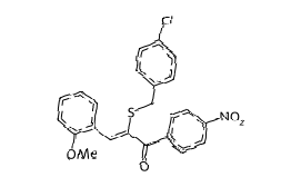 COc1ccccc1C=C(SCc1ccc(Cl)cc1)C(=O)c1ccc([N+](=O)[O-])cc1